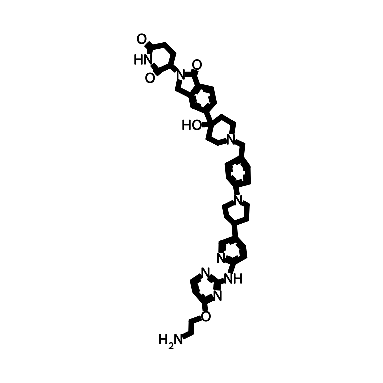 NCCOc1ccnc(Nc2ccc(C3CCN(c4ccc(CN5CCC(O)(c6ccc7c(c6)CN(C6CCC(=O)NC6=O)C7=O)CC5)cc4)CC3)cn2)n1